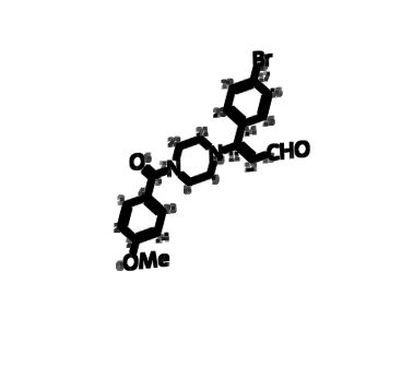 COc1ccc(C(=O)N2CCN(C(=CC=O)c3ccc(Br)cc3)CC2)cc1